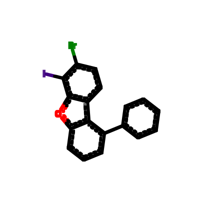 Brc1ccc2c(oc3cccc(-c4ccccc4)c32)c1I